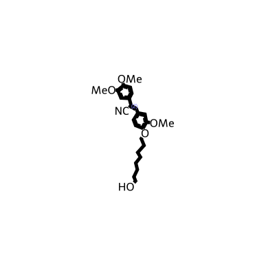 COc1ccc(/C(C#N)=C/c2ccc(OCCCCCCCCO)c(OC)c2)cc1OC